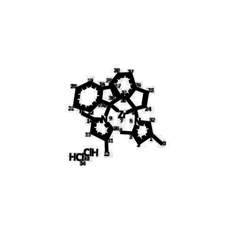 Cc1cc(C)n([C]2([Zr][C]3(n4cc(C)cc4C)C=Cc4ccccc43)C=Cc3ccccc32)c1.Cl.Cl